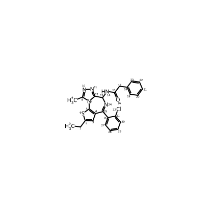 CCc1cc2c(s1)-n1c(C)nnc1C(NC(=O)Cc1ccccc1)N=C2c1ccccc1Cl